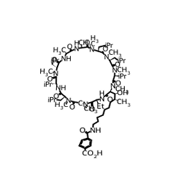 CC[C@@H]1NC(=O)[C@H]([C@H](O)[C@H](C)CCCCCCCNC(=O)c2ccc(C(=O)O)cc2)N(C)C(=O)[C@H](C(C)C)N(C)C(=O)[C@H](CC(C)C)N(C)C(=O)[C@H](CC(C)C)N(C)C(=O)[C@H](C)NC(=O)[C@@H](C)NC(=O)[C@@H](CC(C)C)N(C)C(=O)[C@@H](C(C)C)NC(=O)[C@H](CC(C)C)N(C)C(=O)CN(C)C1=O